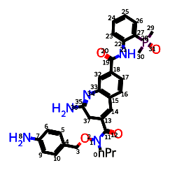 CCCN(OCc1ccc(N)cc1)C(=O)C1=Cc2ccc(C(=O)Nc3ccccc3P(C)(C)=O)cc2N=C(N)C1